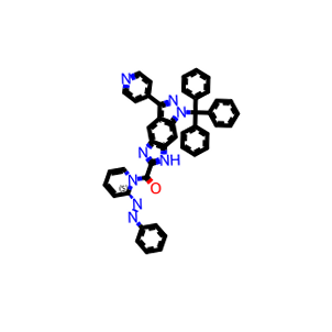 O=C(c1nc2cc3c(-c4ccncc4)nn(C(c4ccccc4)(c4ccccc4)c4ccccc4)c3cc2[nH]1)N1C=CC=C[C@@H]1N=Nc1ccccc1